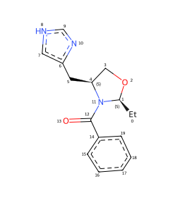 CC[C@@H]1OC[C@H](Cc2c[nH]cn2)N1C(=O)c1ccccc1